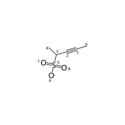 CC#CC(C)S([O])(=O)=O